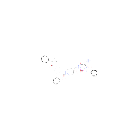 Nc1c(Oc2ccc(F)cc2)ncn(CC2(O)CCN(C(=O)[C@@H]3CCN(C(=O)C4(c5ccccc5)CC4)C[C@H]3c3ccccc3)CC2)c1=O